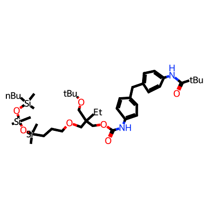 CCCC[Si](C)(C)O[Si](C)(C)O[Si](C)(C)CCCOCC(CC)(COC(=O)Nc1ccc(Cc2ccc(NC(=O)C(C)(C)C)cc2)cc1)COC(C)(C)C